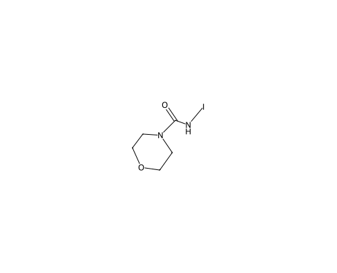 O=C(NI)N1CCOCC1